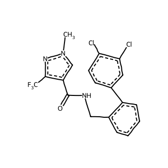 Cn1cc(C(=O)NCc2ccccc2-c2ccc(Cl)c(Cl)c2)c(C(F)(F)F)n1